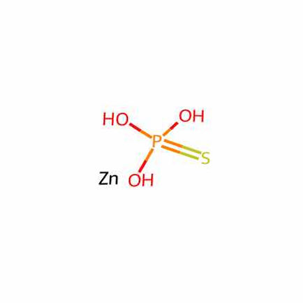 OP(O)(O)=S.[Zn]